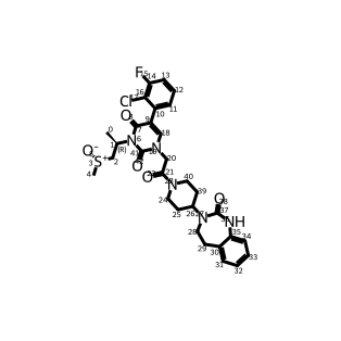 C[C@H](C[S+](C)[O-])n1c(=O)c(-c2cccc(F)c2Cl)cn(CC(=O)N2CCC(N3CCc4ccccc4NC3=O)CC2)c1=O